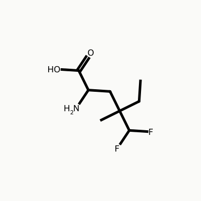 CCC(C)(CC(N)C(=O)O)C(F)F